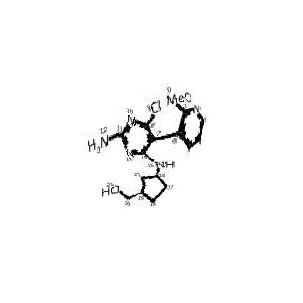 COc1ncccc1-c1c(Cl)nc(N)nc1N[C@H]1CC[C@@H](CO)C1